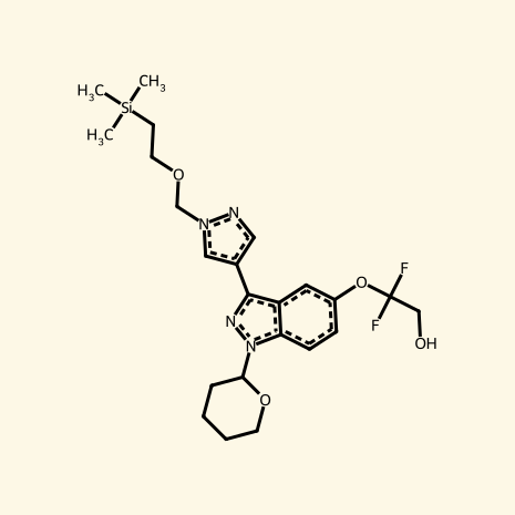 C[Si](C)(C)CCOCn1cc(-c2nn(C3CCCCO3)c3ccc(OC(F)(F)CO)cc23)cn1